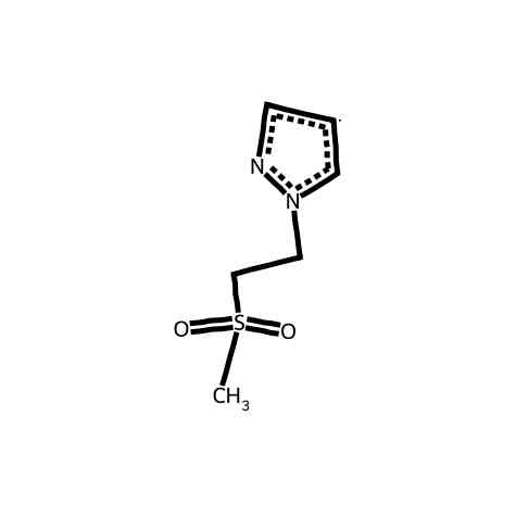 CS(=O)(=O)CCn1c[c]cn1